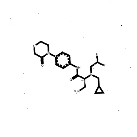 NC[C@@H](C(=O)Nc1ccc(N2CCOCC2=O)cc1)N(CC(F)F)CC1CC1